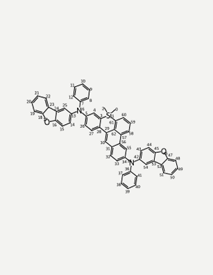 C[Si]1(C)c2cc(N(c3ccccc3)c3ccc4oc5ccccc5c4c3)ccc2-c2cc3ccc(N(c4ccccc4)c4ccc5oc6ccccc6c5c4)cc3c3cccc1c23